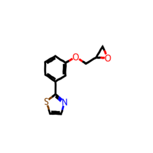 c1cc(OCC2CO2)cc(-c2nccs2)c1